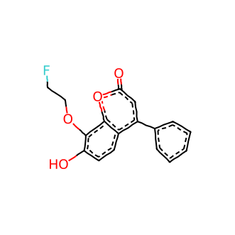 O=c1cc(-c2ccccc2)c2ccc(O)c(OCCF)c2o1